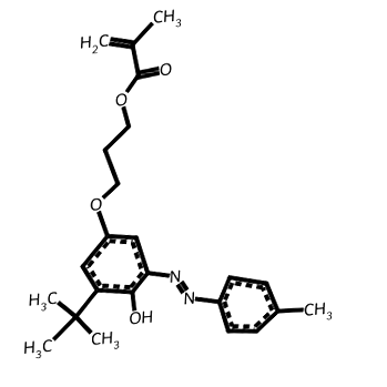 C=C(C)C(=O)OCCCOc1cc(N=Nc2ccc(C)cc2)c(O)c(C(C)(C)C)c1